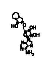 Nc1ncnc2c1ncn2[C@@H]1O[C@H](CO[C@H]2Cc3ccccc3[C@H]2O)[C@@H](O)[C@H]1O